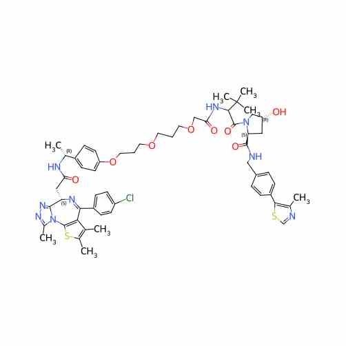 Cc1ncsc1-c1ccc(CNC(=O)[C@@H]2C[C@@H](O)CN2C(=O)C(NC(=O)COCCCOCCCOc2ccc([C@@H](C)NC(=O)C[C@@H]3N=C(c4ccc(Cl)cc4)c4c(sc(C)c4C)-n4c(C)nnc43)cc2)C(C)(C)C)cc1